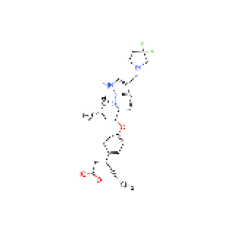 CC#CC(CC(=O)O)c1ccc(OC(CC(C)C)c2ccc3c(CN4CCC(F)(F)C4)c[nH]c3n2)cc1